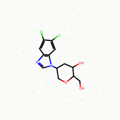 OCC1OCC(n2cnc3cc(Cl)c(Cl)cc32)CC1O